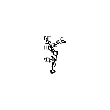 C=CC(=O)N1CC[C@]2(C1)C[C@H](n1c(NC(=O)c3ccc(C(F)F)s3)nc3cc(CN(CC(=O)OCc4ccccc4)[C@@H](C)C(C)(C)C)ccc31)C2